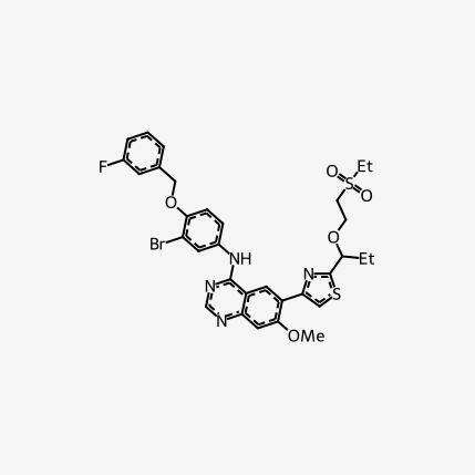 CCC(OCCS(=O)(=O)CC)c1nc(-c2cc3c(Nc4ccc(OCc5cccc(F)c5)c(Br)c4)ncnc3cc2OC)cs1